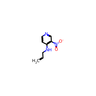 C=CCNc1ccncc1[N+](=O)[O-]